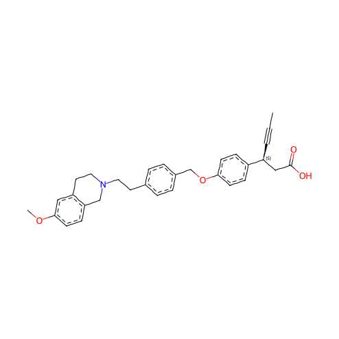 CC#C[C@@H](CC(=O)O)c1ccc(OCc2ccc(CCN3CCc4cc(OC)ccc4C3)cc2)cc1